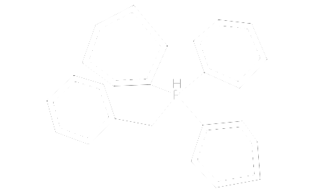 c1ccc(C[PH](c2ccccc2)(c2ccccc2)c2ccccc2)cc1